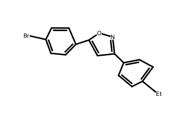 CCc1ccc(-c2cc(-c3ccc(Br)cc3)on2)cc1